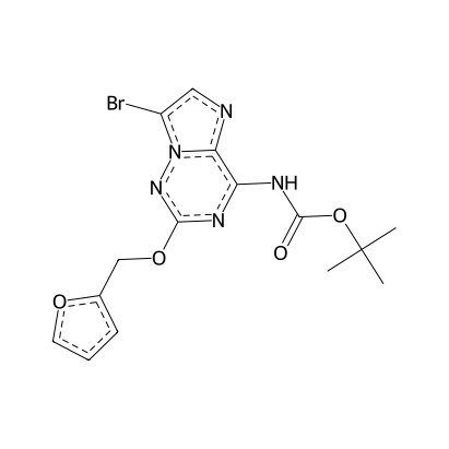 CC(C)(C)OC(=O)Nc1nc(OCc2ccco2)nn2c(Br)cnc12